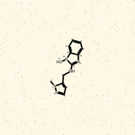 Cn1nccc1CNc1nc2ccccc2n1O